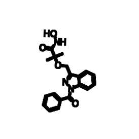 CC(C)(OCc1nn(C(=O)c2ccccc2)c2ccccc12)C(=O)NO